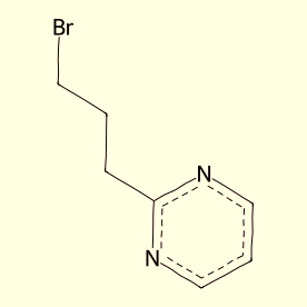 BrCCCc1ncccn1